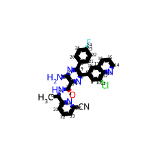 CC(NC(=O)c1nc(-c2cc(Cl)c3ncccc3c2)c(-c2ccc(F)cc2)nc1N)c1cccc(C#N)n1